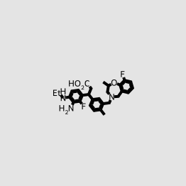 CCNc1ccc(C(CC(=O)O)c2ccc(C)c(CN3Cc4cccc(F)c4OC(C)C3)c2)c(F)c1N